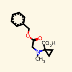 CN(CC(=O)OCc1ccccc1)C1(C(=O)O)CC1